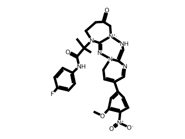 COc1cc(C2=CCN3N=C4N(C(C)(C)C(=O)Nc5ccc(F)cc5)CCC(=O)C[N+]4NC=C3N=C2)ccc1[N+](=O)[O-]